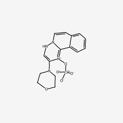 [O-][Cl+3]([O-])([O-])O[N+]1=C2c3ccccc3C=CN2NC=C1N1CCOCC1